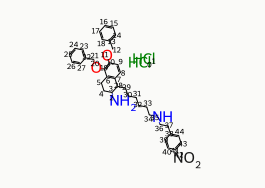 Cl.Cl.NC1CCc2c(ccc(OCc3ccccc3)c2OCc2ccccc2)C1CCCCCCNCCc1ccc([N+](=O)[O-])cc1